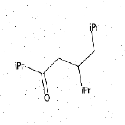 CC(C)CC(CC(=O)C(C)C)C(C)C